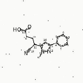 Cn1nc(-c2ccccc2)cc1C(C#N)CCC(=O)O